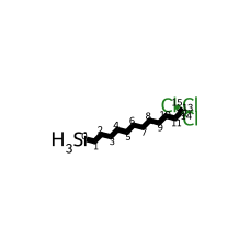 [SiH3]CCCCCCCCCCCC(Cl)(Cl)Cl